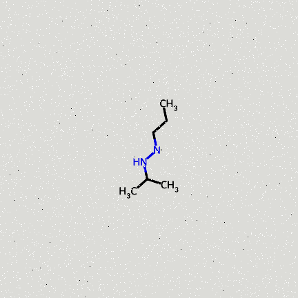 CCC[N]NC(C)C